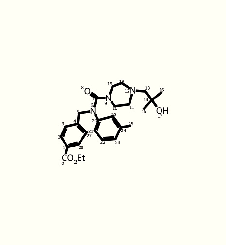 CCOC(=O)c1ccc(CN(C(=O)N2CCN(CC(C)(C)O)CC2)c2cccc(C)c2)cc1